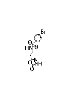 O=c1[nH]nc(CCNS(=O)(=O)c2ccc(Br)cc2)o1